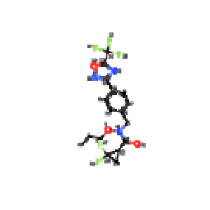 CCCON(Cc1ccc(-c2noc(C(F)(F)F)n2)cc1)C(=O)C1CC1(F)F